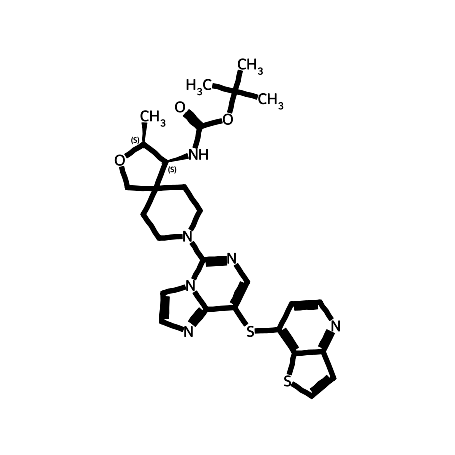 C[C@@H]1OCC2(CCN(c3ncc(Sc4ccnc5ccsc45)c4nccn34)CC2)[C@@H]1NC(=O)OC(C)(C)C